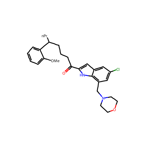 CCCC(CCCC(=O)c1cc2cc(Cl)cc(CN3CCOCC3)c2[nH]1)c1ccccc1OC